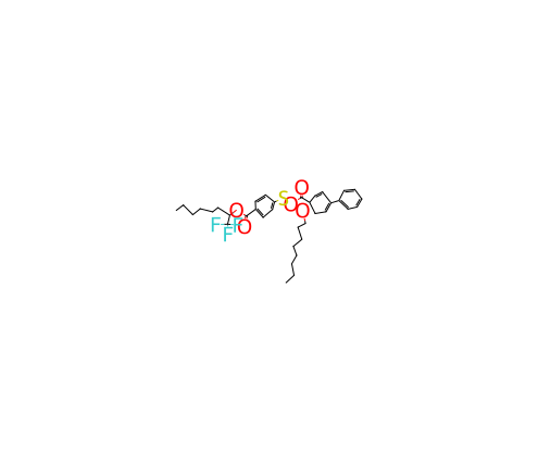 CCCCCCCCOC1(C(=O)OSc2ccc(C(=O)OC(CCCCCC)C(F)(F)F)cc2)C=CC(c2ccccc2)=CC1